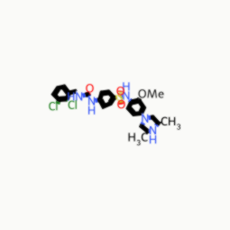 COc1cc(N2C[C@@H](C)N[C@@H](C)C2)ccc1NS(=O)(=O)c1ccc(NC(=O)NCc2cccc(Cl)c2Cl)cc1